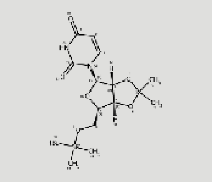 CC1(C)O[C@@H]2[C@H](O1)[C@@H](CO[Si](C)(C)C(C)(C)C)O[C@H]2n1ccc(=O)[nH]c1=O